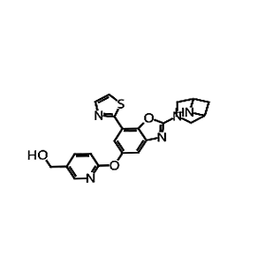 OCc1ccc(Oc2cc(-c3nccs3)c3oc(N4CC5CC(C4)N5)nc3c2)nc1